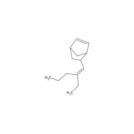 CCCC(=CC1CC2C=CC1C2)CC